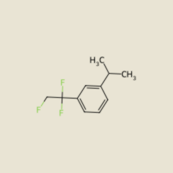 CC(C)c1cccc(C(F)(F)CF)c1